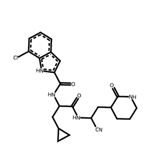 N#CC(CC1CCCNC1=O)NC(=O)C(CC1CC1)NC(=O)c1cc2cccc(Cl)c2[nH]1